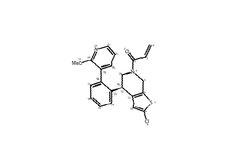 C=CC(=O)N1Cc2sc(Cl)cc2[C@@H](c2ccccc2-c2cccnc2OC)C1